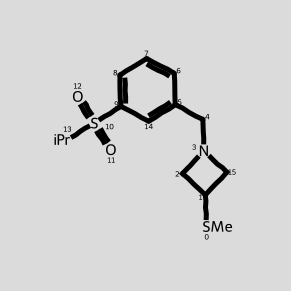 CSC1CN(Cc2cccc(S(=O)(=O)C(C)C)c2)C1